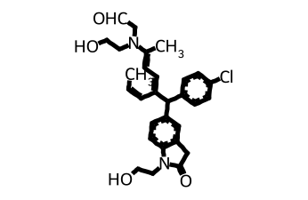 C\C=C/C(=C\C=C(/C)N(CC=O)CCO)C(c1ccc(Cl)cc1)c1ccc2c(c1)CC(=O)N2CCO